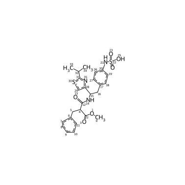 COC(=O)C(Cc1ccccc1)C(=O)NC(Cc1ccc(NS(=O)(=O)O)cc1)c1csc(C(C)C)n1